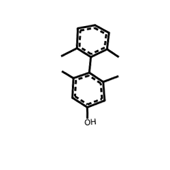 Cc1cccc(C)c1-c1c(C)cc(O)cc1C